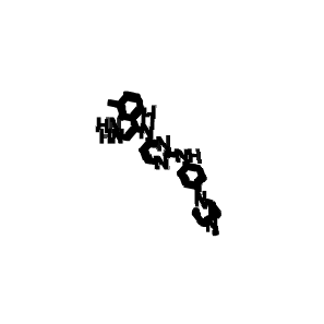 Cc1cccc2c1NNC=C2Nc1ccnc(Nc2ccc(N3CC4CC3CN4C)cc2)n1